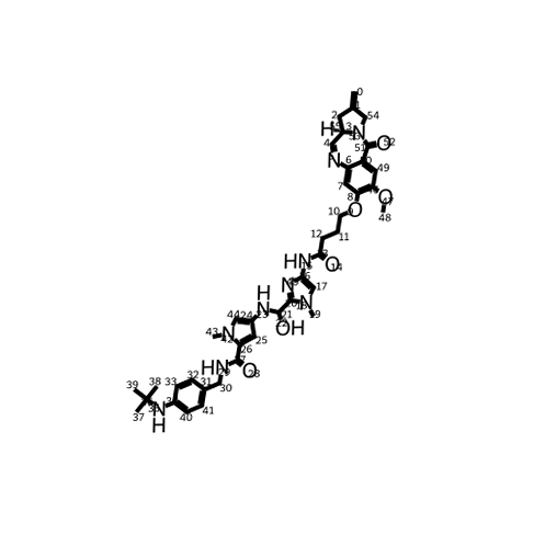 C=C1C[C@H]2C=Nc3cc(OCCCC(=O)Nc4cn(C)c(C(O)Nc5cc(C(=O)NCc6ccc(NC(C)(C)C)cc6)n(C)c5)n4)c(OC)cc3C(=O)N2C1